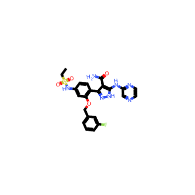 CCS(=O)(=O)Nc1ccc(-c2n[nH]c(Nc3cnccn3)c2C(N)=O)c(OCc2cccc(F)c2)c1